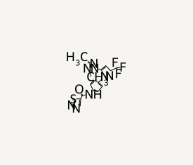 Cc1nc(C)n(-c2cc(C(F)(F)F)nn2-c2ccc(NC(=O)c3cnns3)cc2)n1